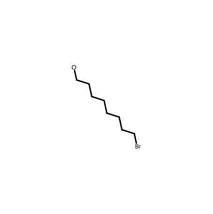 [O]CCCCCCCCBr